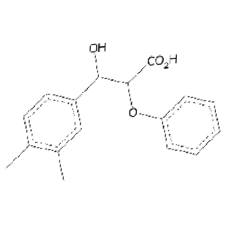 Cc1ccc(C(O)C(Oc2ccccc2)C(=O)O)cc1C